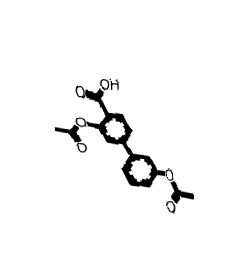 CC(=O)Oc1cccc(-c2ccc(C(=O)O)c(OC(C)=O)c2)c1